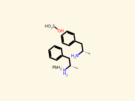 C[C@H](N)Cc1ccccc1.C[C@H](N)Cc1ccccc1.O=S(=O)(O)O.[PbH2]